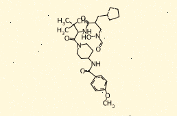 COc1ccc(C(=O)NC2CCN(C(=O)C(NC(=O)C(CC3CCCC3)CN(O)C=O)C(C)(C)C)CC2)cc1